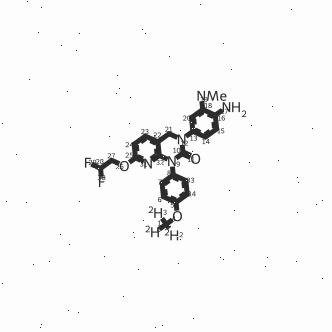 [2H]C([2H])([2H])Oc1ccc(N2C(=O)N(c3ccc(N)c(NC)c3)Cc3ccc(OCC(F)F)nc32)cc1